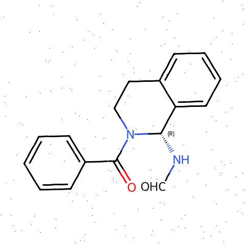 O=CN[C@H]1c2ccccc2CCN1C(=O)c1ccccc1